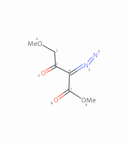 COCC(=O)C(=[N+]=[N-])C(=O)OC